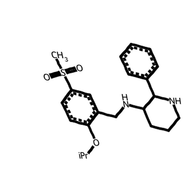 CC(C)Oc1ccc(S(C)(=O)=O)cc1CNC1CCCNC1c1ccccc1